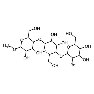 COC1OC(CO)C(OC2OC(CO)C(OC3OC(CO)C(O)C(O)[CH]3[Re])C(O)C2O)C(O)C1O